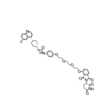 C[C@@H](C(=O)Nc1ccc(OCCOCCOCCOc2cccc3c2C(=O)N(C2CCC(=O)NC2=O)C3=O)cc1)[C@H]1CC[C@@H](c2ccnc3ccc(F)cc32)CC1